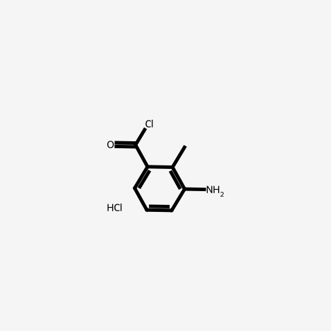 Cc1c(N)cccc1C(=O)Cl.Cl